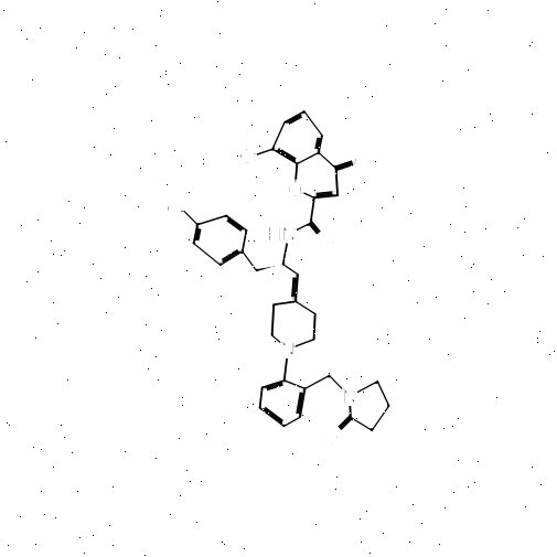 O=C(N[C@@H](C=C1CCN(c2ccccc2CN2CCCC2=O)CC1)Cc1ccc(Cl)cc1)c1cc(=O)c2cccc(Cl)c2o1